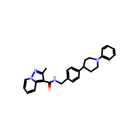 Cc1nn2ccccc2c1C(=O)NCc1ccc(C2CCN(c3ccccc3)CC2)cc1